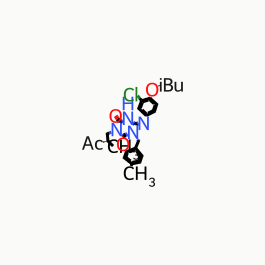 CC[C@@H](C)Oc1ccc(/N=c2\[nH]c(=O)n(C[C@H](C)C(C)=O)c(=O)n2Cc2ccc(C)cc2)cc1Cl